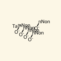 CCCCCCCCC[O-].CCCCCCCCC[O-].CCCCCCCCC[O-].CCCCCCCCC[O-].CCCCCCCCC[O-].[Ta+5]